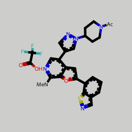 CNc1ncc(-c2cnn(C3CCN(C(C)=O)CC3)c2)c2cc(-c3cccc4cnsc34)oc12.O=C(O)C(F)(F)F